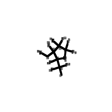 CC(F)(F)C1(F)OC(F)(F)C(F)(F)C1(F)CF